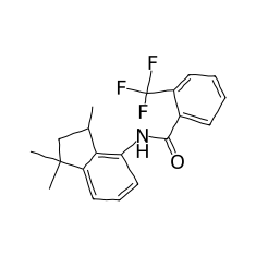 CC1CC(C)(C)c2cccc(NC(=O)c3ccccc3C(F)(F)F)c21